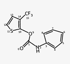 O=C(Nc1ccccc1)Oc1sccc1C(F)(F)F